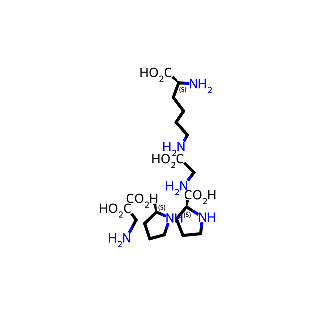 NCC(=O)O.NCC(=O)O.NCCCC[C@H](N)C(=O)O.O=C(O)[C@@H]1CCCN1.O=C(O)[C@@H]1CCCN1